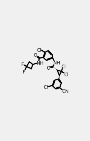 N#Cc1cc(Cl)cc([C@H]2[C@H](C(=O)Nc3ccc(Cl)c(C(=O)NC4CC(F)(F)C4)c3)C2(Cl)Cl)c1